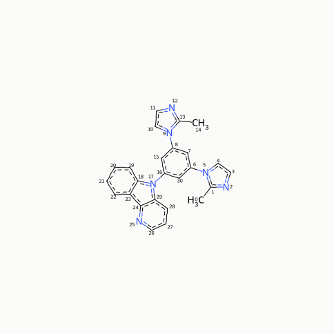 Cc1nccn1-c1cc(-n2ccnc2C)cc(-n2c3ccccc3c3ncccc32)c1